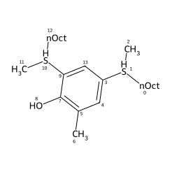 CCCCCCCC[SH](C)c1cc(C)c(O)c([SH](C)CCCCCCCC)c1